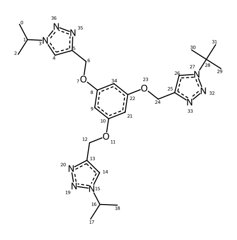 CC(C)n1cc(COc2cc(OCc3cn(C(C)C)nn3)cc(OCc3cn(C(C)(C)C)nn3)c2)nn1